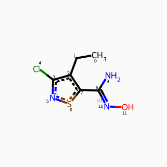 CCc1c(Cl)nsc1/C(N)=N/O